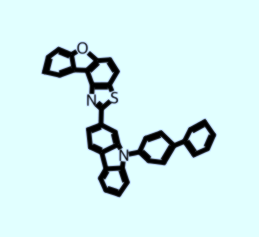 c1ccc(-c2ccc(-n3c4ccccc4c4ccc(-c5nc6c(ccc7oc8ccccc8c76)s5)cc43)cc2)cc1